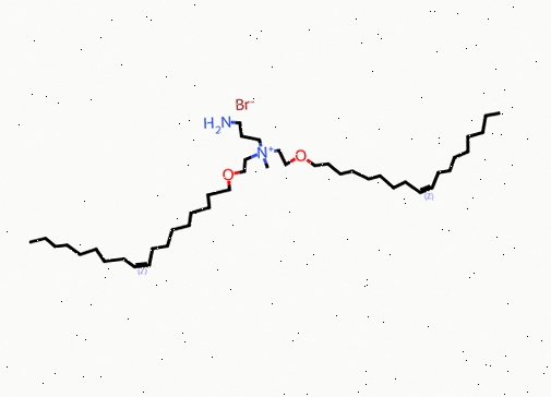 CCCCCCCC/C=C\CCCCCCCCOCC[N+](C)(CCCN)CCOCCCCCCCC/C=C\CCCCCCCC.[Br-]